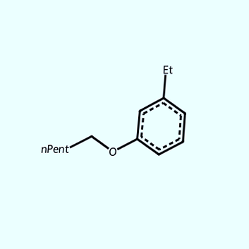 [CH2]Cc1cccc(OCCCCCC)c1